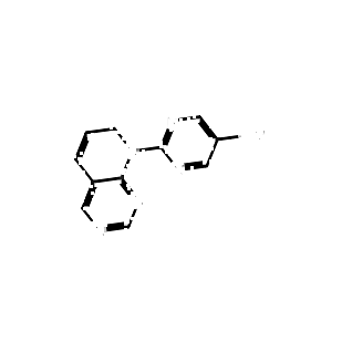 COc1cnc(N2CC=Cc3cncnc32)nc1